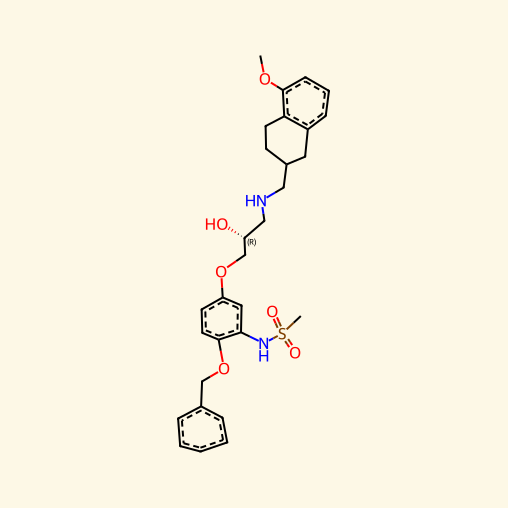 COc1cccc2c1CCC(CNC[C@@H](O)COc1ccc(OCc3ccccc3)c(NS(C)(=O)=O)c1)C2